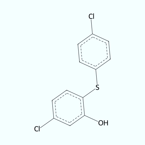 Oc1cc(Cl)ccc1Sc1ccc(Cl)cc1